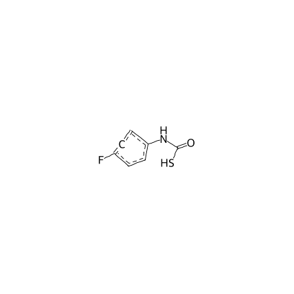 O=C(S)Nc1ccc(F)cc1